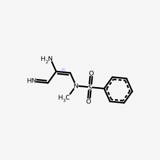 CN(/C=C(/N)C=N)S(=O)(=O)c1ccccc1